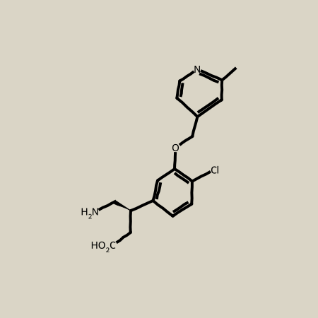 Cc1cc(COc2cc([C@H](CN)CC(=O)O)ccc2Cl)ccn1